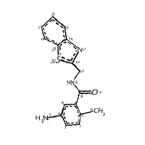 Cc1ccc(N)cc1C(=O)NCc1nc2ccccc2s1